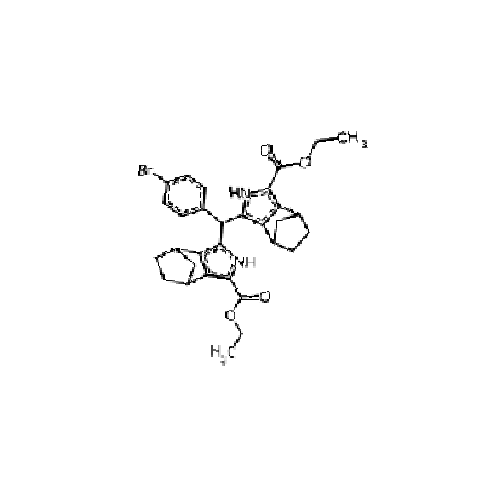 CCOC(=O)c1[nH]c(C(c2ccc(Br)cc2)c2[nH]c(C(=O)OCC)c3c2C2CCC3C2)c2c1C1CCC2C1